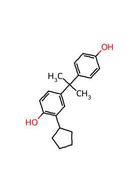 CC(C)(c1ccc(O)cc1)c1ccc(O)c(C2CCCC2)c1